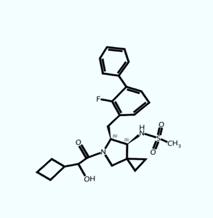 CS(=O)(=O)N[C@@H]1[C@H](Cc2cccc(-c3ccccc3)c2F)N(C(=O)C(O)C2CCC2)CC12CC2